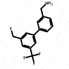 NCc1cccc(-c2cc(CF)cc(C(F)(F)F)c2)c1